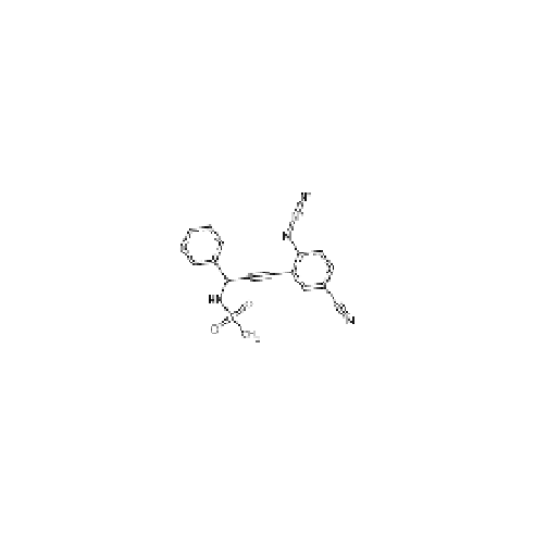 CS(=O)(=O)NC(C#Cc1cc(C#N)ccc1N=[N+]=[N-])c1ccccc1